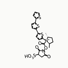 CC1CC[C@@H](C)[N+]1(C(=O)ON1C(=O)CC(S(=O)(=O)O)C1=O)c1ccc(-c2ccc(-c3cccs3)s2)s1